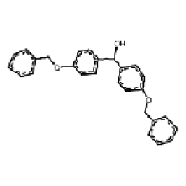 OC(c1ccc(OCc2ccccc2)cc1)c1ccc(OCc2ccccc2)cc1